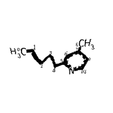 C/C=C/CCc1cc(C)ccn1